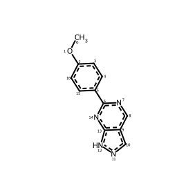 COc1ccc(-c2ncc3cn[nH]c3n2)cc1